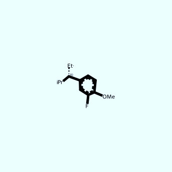 C[CH][C@H](c1ccc(OC)c(F)c1)C(C)C